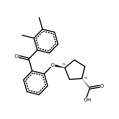 Cc1cccc(C(=O)c2ccccc2O[C@H]2CC[C@H](C(=O)O)C2)c1C